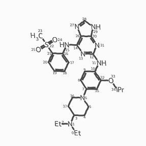 CCN(CC)C1CCN(c2ccc(Nc3nc(Nc4ccccc4S(C)(=O)=O)c4nc[nH]c4n3)c(OC(C)C)c2)CC1